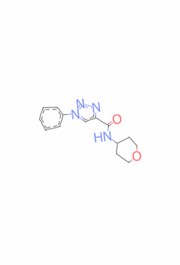 O=C(NC1CCOCC1)c1cn(-c2ccccc2)nn1